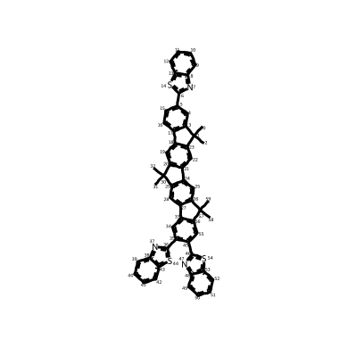 CC1(C)c2cc(-c3nc4ccccc4s3)ccc2-c2cc3c(cc21)-c1cc2c(cc1C3(C)C)-c1cc(-c3nc4ccccc4s3)c(-c3nc4ccccc4s3)cc1C2(C)C